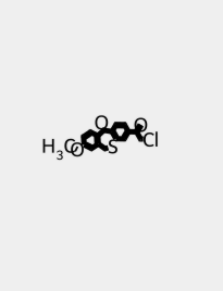 COc1ccc2c(c1)CSc1cc(C(=O)CCl)ccc1C2=O